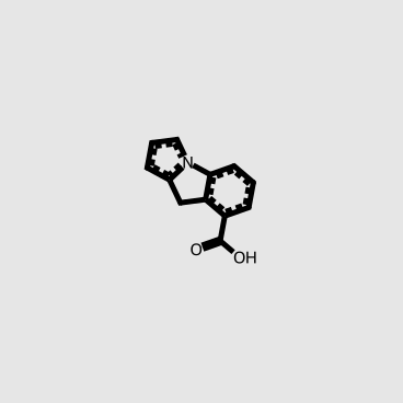 O=C(O)c1cccc2c1Cc1cccn1-2